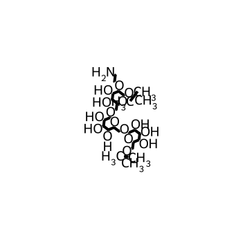 CC(C)(C)OCC1OC(OCC2OC(OCC3OC(OC(C)(C)C)C(OCCN)C(O)C3O)C(O)C(O)C2O)C(O)C(O)C1O